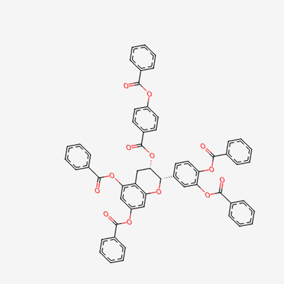 O=C(Oc1ccc(C(=O)O[C@H]2Cc3c(OC(=O)c4ccccc4)cc(OC(=O)c4ccccc4)cc3O[C@H]2c2ccc(OC(=O)c3ccccc3)c(OC(=O)c3ccccc3)c2)cc1)c1ccccc1